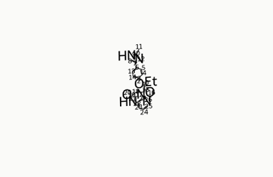 CCC(Oc1ccc(-c2c[nH]c(C)n2)cc1)C(=O)N1CC(=O)Nc2cccnc21